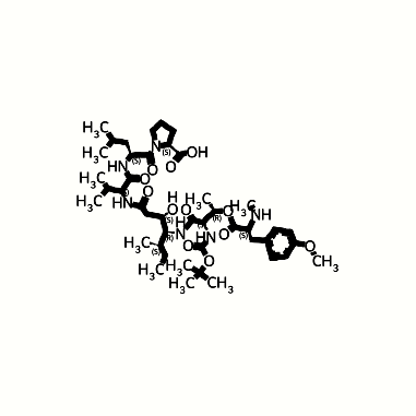 CC[C@H](C)[C@@H](NC(=O)[C@@H](NC(=O)OC(C)(C)C)[C@@H](C)OC(=O)[C@H](Cc1ccc(OC)cc1)NC)[C@@H](O)CC(=O)N[C@H](C(=O)N[C@@H](CC(C)C)C(=O)N1CCC[C@H]1C(=O)O)C(C)C